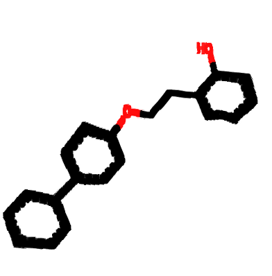 Oc1ccccc1CCOc1ccc(-c2ccccc2)cc1